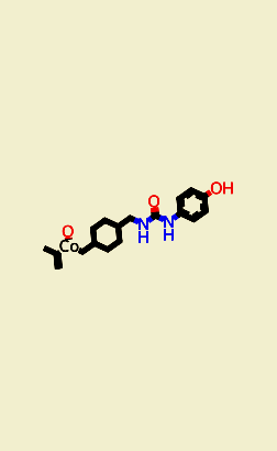 C=[C](C)[Co](=[O])[CH2]C1CCC(CNC(=O)Nc2ccc(O)cc2)CC1